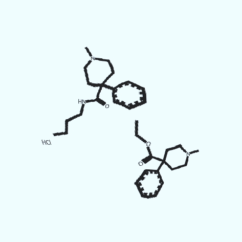 CCCCNC(=O)C1(c2ccccc2)CCN(C)CC1.CCOC(=O)C1(c2ccccc2)CCN(C)CC1.Cl